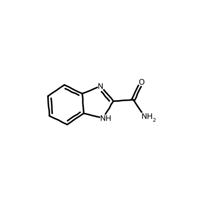 NC(=O)c1nc2ccccc2[nH]1